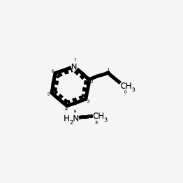 CCc1ccccn1.CN